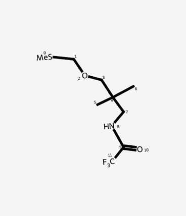 CSCOCC(C)(C)CNC(=O)C(F)(F)F